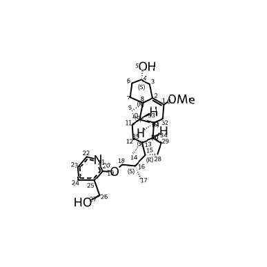 COC1=C2C[C@@H](O)CC[C@]2(C)[C@H]2CC[C@]3(C)[C@@H]([C@H](C)COc4ncccc4CO)CC[C@H]3[C@@H]2C1